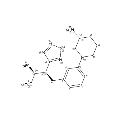 CCC[C@H](C(=O)O)[C@H](Cc1cccc(N2CCC[C@@H](N)C2)c1)c1nn[nH]n1